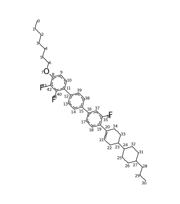 CCCCCCCOc1ccc(-c2ccc(-c3ccc(C4=CCC(C5CCC(CCC)CC5)CC4)c(F)c3)cc2)c(F)c1F